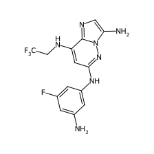 Nc1cc(F)cc(Nc2cc(NCC(F)(F)F)c3ncc(N)n3n2)c1